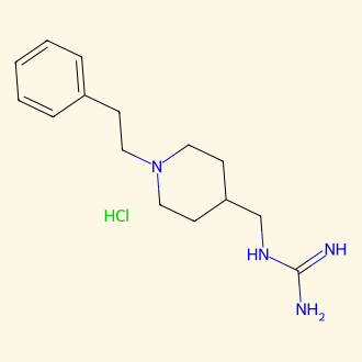 Cl.N=C(N)NCC1CCN(CCc2ccccc2)CC1